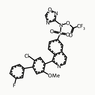 COc1cc(-c2cccc(F)c2)c(Cl)cc1-c1nccc2cc(S(=O)(=O)N(OC(=O)C(F)(F)F)c3ncon3)ccc12